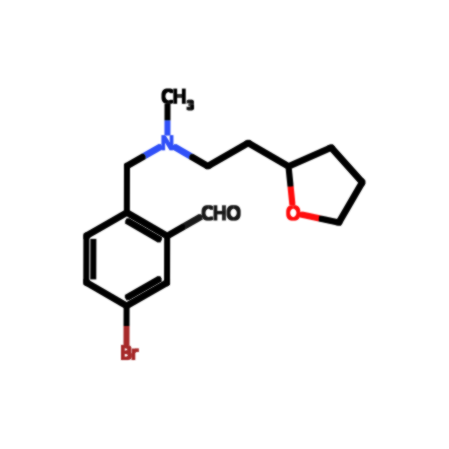 CN(CCC1CCCO1)Cc1ccc(Br)cc1C=O